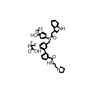 CCOC1(O)C=CC(N(Cc2cccc(-c3cccc(C(=O)NCCN4CCCC4)c3)c2)C(=O)Cc2c[nH]c3ccccc23)=CC1.O=C(O)C(F)(F)F